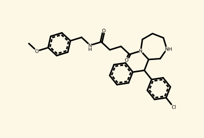 COc1ccc(CNC(=O)CCC(=O)N2CCCNCC2C(c2ccccc2)c2ccc(Cl)cc2)cc1